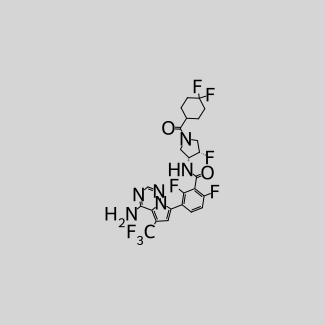 Nc1ncnn2c(-c3ccc(F)c(C(=O)N[C@@H]4CN(C(=O)C5CCC(F)(F)CC5)C[C@@H]4F)c3F)cc(C(F)(F)F)c12